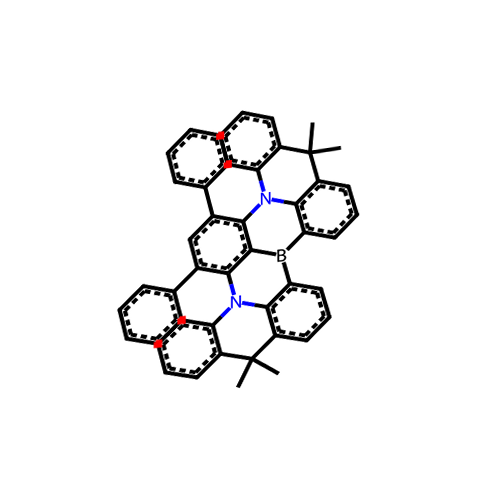 CC1(C)c2ccccc2N2c3c(cccc31)B1c3cccc4c3N(c3ccccc3C4(C)C)c3c(-c4ccccc4)cc(-c4ccccc4)c2c31